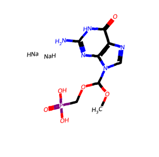 COC(OCP(=O)(O)O)n1cnc2c(=O)[nH]c(N)nc21.[NaH].[NaH]